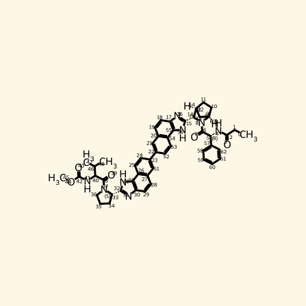 CCC(=O)N[C@@H](C(=O)N1[C@@H]2CC[C@@H](C2)[C@H]1c1nc2ccc3cc(-c4ccc5c(ccc6nc([C@@H]7CCCN7C(=O)C(NC(=O)OC)C(C)C)[nH]c65)c4)ccc3c2[nH]1)c1ccccc1